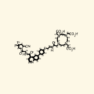 N#C[C@@H]1CC(F)(F)CN1C(=O)CNC(=O)c1ccnc2ccc(-c3ccc(OCCNC(=O)CN4CCN(CC(=O)O)CCN(CC(=O)O)CCN(CC(=O)O)CC4)cc3)cc12